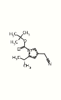 CC(C)c1cc(CC#N)cn1C(=O)OC(C)(C)C